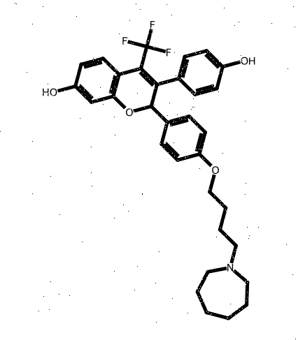 Oc1ccc(C2=C(C(F)(F)F)c3ccc(O)cc3OC2c2ccc(OCCCCN3CCCCCC3)cc2)cc1